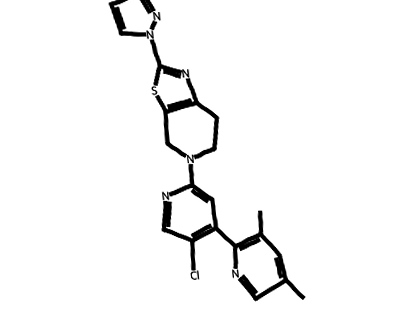 Cc1cnc(-c2cc(N3CCc4nc(-n5cccn5)sc4C3)ncc2Cl)c(C)c1